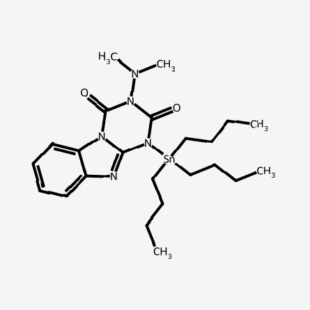 CCC[CH2][Sn]([CH2]CCC)([CH2]CCC)[n]1c(=O)n(N(C)C)c(=O)n2c3ccccc3nc12